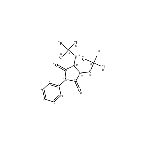 O=c1n(-c2ccccc2)c(=O)n(SC(F)(Cl)Cl)n1SC(F)(Cl)Cl